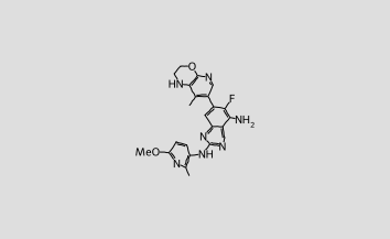 COc1ccc(Nc2ncc3c(N)c(F)c(-c4cnc5c(c4C)NCCO5)cc3n2)c(C)n1